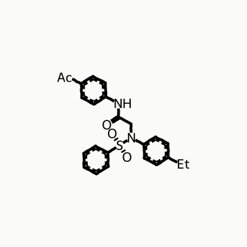 CCc1ccc(N(CC(=O)Nc2ccc(C(C)=O)cc2)S(=O)(=O)c2ccccc2)cc1